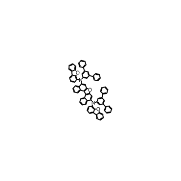 c1ccc(-c2cc(-c3ccccc3)cc(N(c3cc4oc5cc(N(c6cc(-c7ccccc7)cc(-c7ccccc7)c6)c6cccc7c6oc6ccccc67)c6ccccc6c5c4c4ccccc34)c3cccc4c3oc3ccccc34)c2)cc1